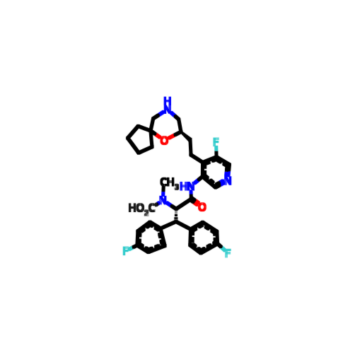 CN(C(=O)O)[C@H](C(=O)Nc1cncc(F)c1CC[C@@H]1CNCC2(CCCC2)O1)C(c1ccc(F)cc1)c1ccc(F)cc1